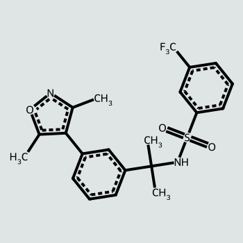 Cc1noc(C)c1-c1cccc(C(C)(C)NS(=O)(=O)c2cccc(C(F)(F)F)c2)c1